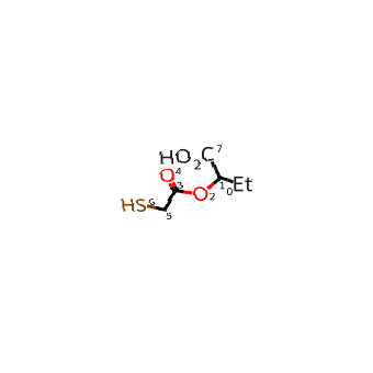 CCC(OC(=O)CS)C(=O)O